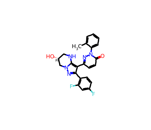 Cc1ccccc1-n1nc(-c2c(-c3ccc(F)cc3F)nn3c2NC[C@@H](O)C3)ccc1=O